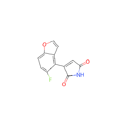 O=C1C=C(c2c(F)ccc3occc23)C(=O)N1